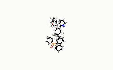 O=P(c1ccccc1)(c1ccccc1)c1cccc(-c2ccc3c(c2)-c2ncccc2C32C3CC4CC(C3)CC2C4)c1